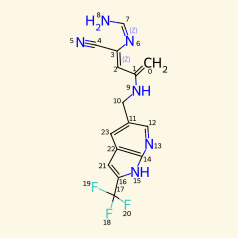 C=C(/C=C(C#N)\N=C/N)NCc1cnc2[nH]c(C(F)(F)F)cc2c1